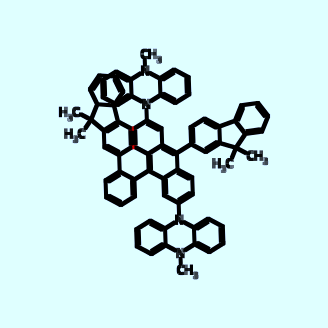 CN1c2ccccc2N(c2ccc3c(-c4ccccc4-c4ccc5c(c4)C(C)(C)C4C=CC=CC54)c4cc(N5c6ccccc6N(C)c6ccccc65)ccc4c(-c4ccc5c(c4)C(C)(C)c4ccccc4-5)c3c2)c2ccccc21